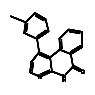 Cc1cccc(-c2ccnc3[nH]c(=O)c4ccccc4c23)c1